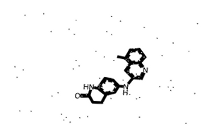 Cc1cccc2ncc(Nc3ccc4c(c3)CCC(=O)N4)cc12